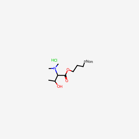 CCCCCCCCCCCCOC(=O)C(C(C)O)N(C)C.Cl